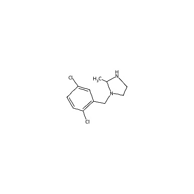 CC1NCCN1Cc1cc(Cl)ccc1Cl